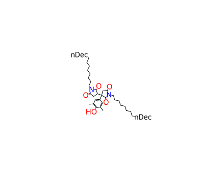 CCCCCCCCCCCCCCCCCCN1C(=O)CC(C2(c3cc(C)c(O)c(C)c3)CC(=O)N(CCCCCCCCCCCCCCCCCC)C2=O)C1=O